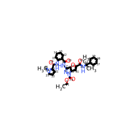 C=COC(=O)n1nc(NC(=O)c2ccccc2NC(=O)c2cccn2C)c2oc(C(=O)NC(C)(C)c3ccccc3)cc21